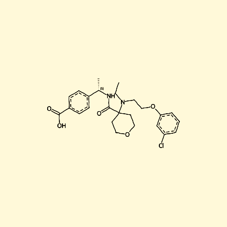 CCN(CCOc1cccc(Cl)c1)C1(C(=O)N[C@@H](C)c2ccc(C(=O)O)cc2)CCOCC1